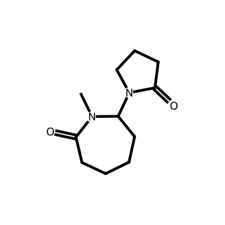 CN1C(=O)CCCCC1N1CCCC1=O